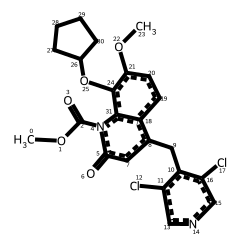 COC(=O)n1c(=O)cc(Cc2c(Cl)cncc2Cl)c2ccc(OC)c(OC3CCCC3)c21